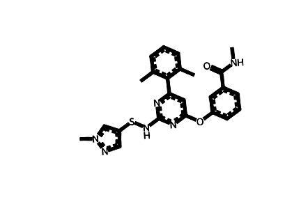 CNC(=O)c1cccc(Oc2cc(-c3c(C)cccc3C)nc(NSc3cnn(C)c3)n2)c1